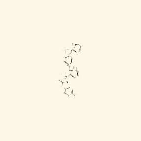 C=C(Cc1ccc(F)cc1)NC(=O)c1cccnc1Oc1ccc(Nc2ccccn2)cc1